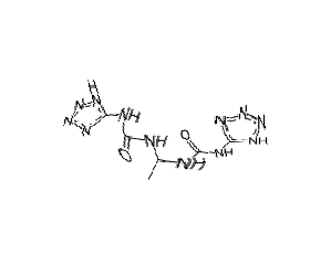 CC(NC(=O)Nc1nnn[nH]1)NC(=O)Nc1nnn[nH]1